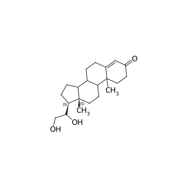 CC12CCC(=O)C=C1CCC1C2CC[C@@]2(C)C1CC[C@@H]2C(O)CO